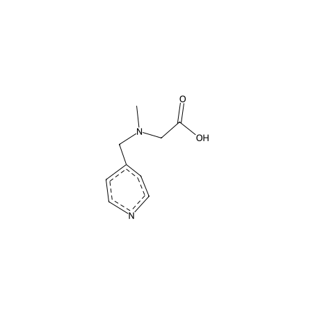 CN(CC(=O)O)Cc1ccncc1